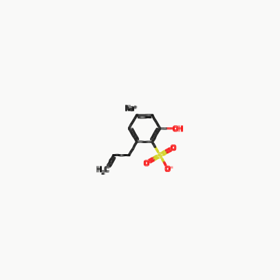 C=CCc1cccc(O)c1S(=O)(=O)[O-].[Na+]